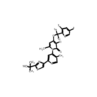 [2H]C([2H])(Oc1cc(C)n(-c2cc(-c3csc(C(C)(C)O)n3)ncc2C)c(=O)c1Cl)c1ncc(F)cc1F